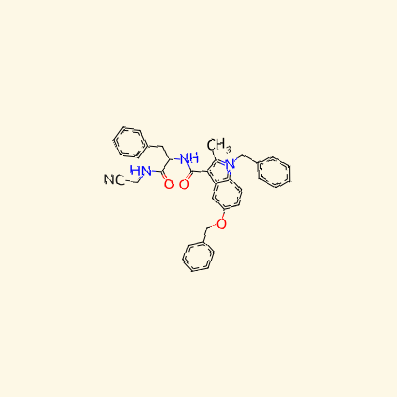 Cc1c(C(=O)NC(Cc2ccccc2)C(=O)NCC#N)c2cc(OCc3ccccc3)ccc2n1Cc1ccccc1